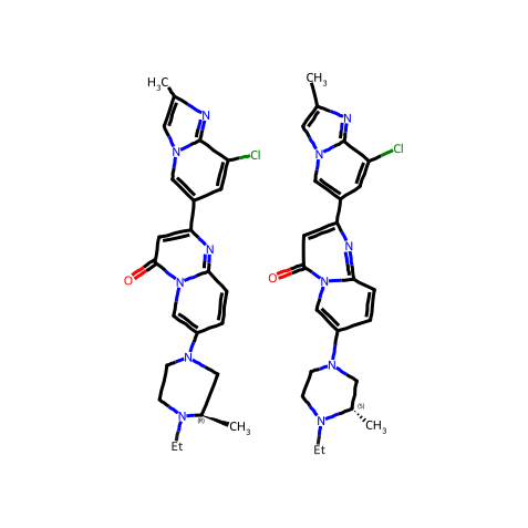 CCN1CCN(c2ccc3nc(-c4cc(Cl)c5nc(C)cn5c4)cc(=O)n3c2)C[C@@H]1C.CCN1CCN(c2ccc3nc(-c4cc(Cl)c5nc(C)cn5c4)cc(=O)n3c2)C[C@H]1C